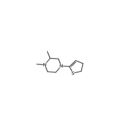 CC1CN(C2=CCCS2)CCN1C